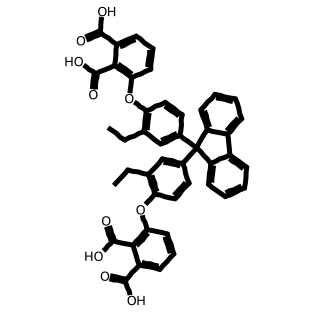 CCc1cc(C2(c3ccc(Oc4cccc(C(=O)O)c4C(=O)O)c(CC)c3)c3ccccc3-c3ccccc32)ccc1Oc1cccc(C(=O)O)c1C(=O)O